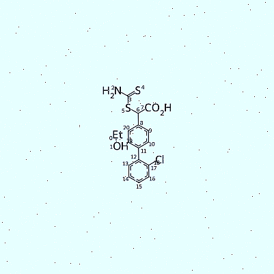 CCO.NC(=S)SC(C(=O)O)c1ccc(-c2ccccc2Cl)cc1